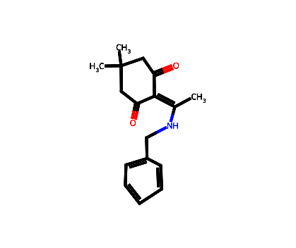 CC(NCc1ccccc1)=C1C(=O)CC(C)(C)CC1=O